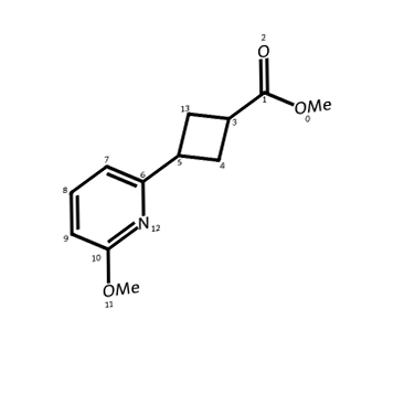 COC(=O)C1CC(c2cccc(OC)n2)C1